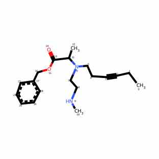 CCC#CCCN(CCNC)C(C)C(=O)OCc1ccccc1